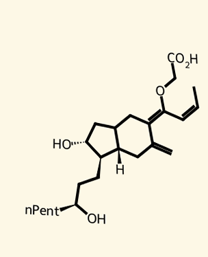 C=C1C[C@H]2C(C/C1=C(/C=C\C)OCC(=O)O)C[C@@H](O)[C@@H]2CC[C@@H](O)CCCCC